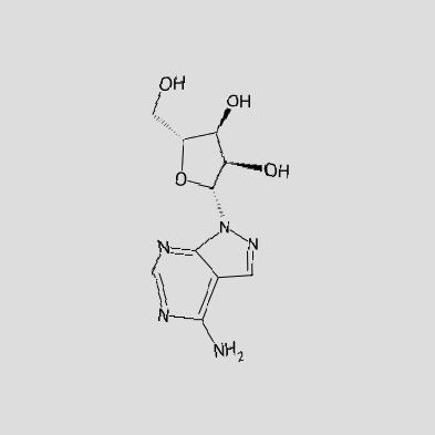 Nc1ncnc2c1cnn2[C@@H]1O[C@H](CO)[C@@H](O)[C@H]1O